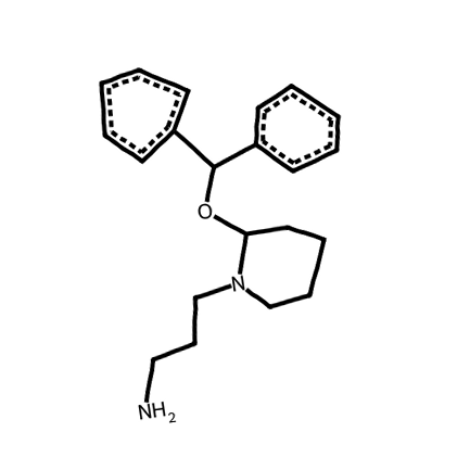 NCCCN1CCCCC1OC(c1ccccc1)c1ccccc1